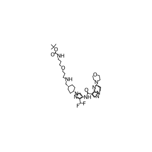 CC(C)(C)OC(=O)NCCCOCCCNC[C@H]1CC[C@H](n2cc(NC(=O)c3cnn4ccc(N5CCOCC5)nc34)c(C(F)F)n2)CC1